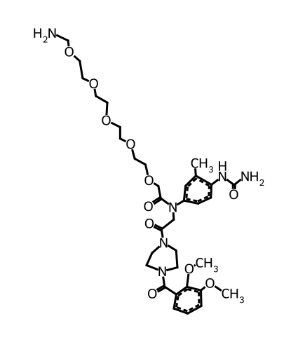 COc1cccc(C(=O)N2CCN(C(=O)CN(C(=O)COCCOCCOCCOCCOCN)c3ccc(NC(N)=O)c(C)c3)CC2)c1OC